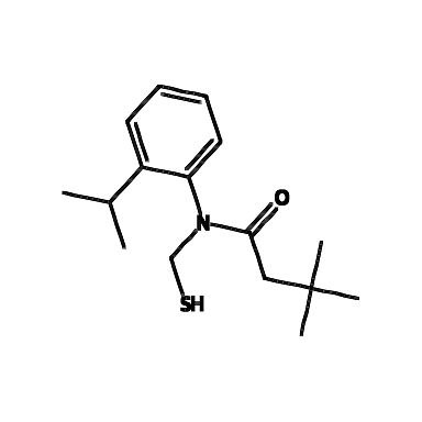 CC(C)c1ccccc1N(CS)C(=O)CC(C)(C)C